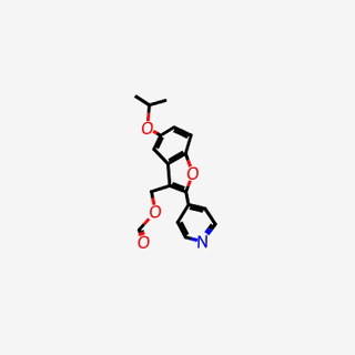 CC(C)Oc1ccc2oc(-c3ccncc3)c(COC=O)c2c1